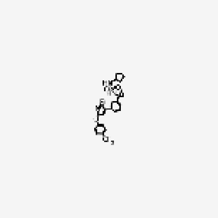 CCn1nc(Oc2ccc(C(F)(F)F)cc2)cc1-c1cccc(C2(NS(=O)(=O)NC3CCCC3)CC2)c1